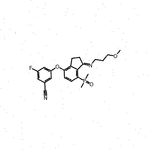 COCCCN=C1CCc2c(Oc3cc(F)cc(C#N)c3)ccc(P(C)(C)=O)c21